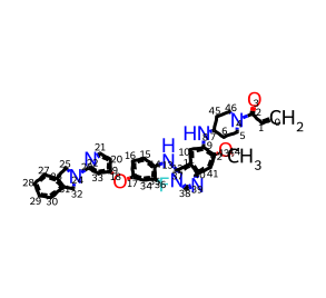 C=CC(=O)N1CCC(Nc2cc3c(Nc4ccc(Oc5ccnc(N6Cc7ccccc7C6)c5)cc4F)ncnc3cc2OC)CC1